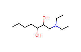 CCCCC(O)C(O)CN(CC)CC